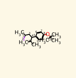 CC(I)CC(c1ccc(OC(C)(C)C)cc1)C(C)C